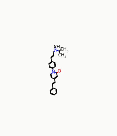 CC(C)N(C)C/C=C/c1ccc(-n2ccc(/C=C/c3ccccc3)cc2=O)cc1